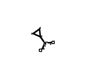 Cl[N+](Cl)C1CC1